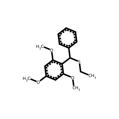 CCSC(c1ccccc1)c1c(OC)cc(OC)cc1OC